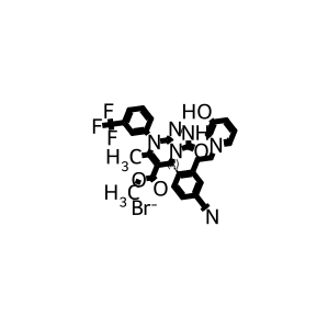 COC(=O)C1=C(C)N(c2cccc(C(F)(F)F)c2)c2n[nH]c(=O)n2[C@@H]1c1ccc(C#N)cc1CC[n+]1cccc(O)c1.[Br-]